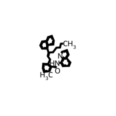 CCCCCC(=CCc1cccc(C)c1C(=O)Nc1cccc2cccnc12)c1cccc2ccccc12